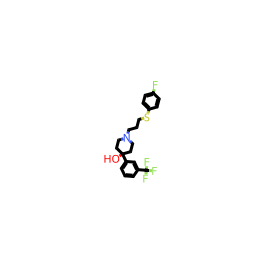 OC1(c2cccc(C(F)(F)F)c2)CCN(CCCSc2ccc(F)cc2)CC1